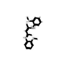 CSc1ccccc1/N=C(C)/C=C(/C)Nc1ccccc1SC